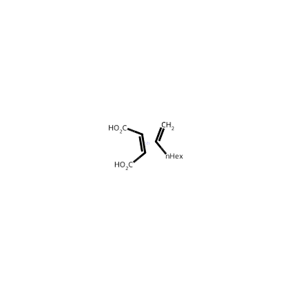 C=CCCCCCC.O=C(O)/C=C\C(=O)O